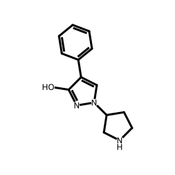 Oc1nn(C2CCNC2)cc1-c1ccccc1